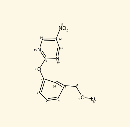 CCOCc1cccc(Oc2ncc([N+](=O)[O-])cn2)c1